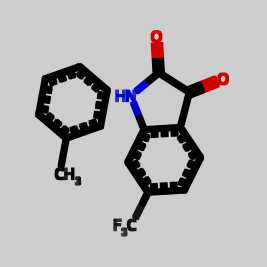 Cc1ccccc1.O=C1Nc2cc(C(F)(F)F)ccc2C1=O